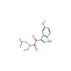 CCN(CC(C)C)C(=O)C(=O)c1c[nH]c2ccc(OC)cc12